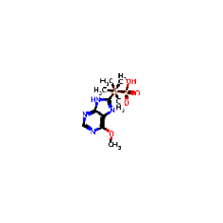 COc1ncnc2[nH]c(S(C)(C)(C)(C)S(=O)(=O)O)nc12